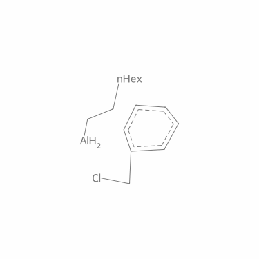 CCCCCCC[CH2][AlH2].ClCc1ccccc1